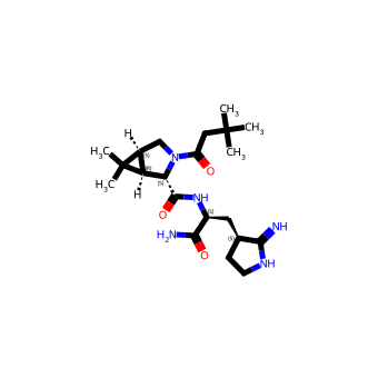 CC(C)(C)CC(=O)N1C[C@H]2[C@@H]([C@H]1C(=O)N[C@@H](C[C@@H]1CCNC1=N)C(N)=O)C2(C)C